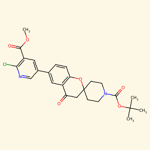 COC(=O)c1cc(-c2ccc3c(c2)C(=O)CC2(CCN(C(=O)OC(C)(C)C)CC2)O3)cnc1Cl